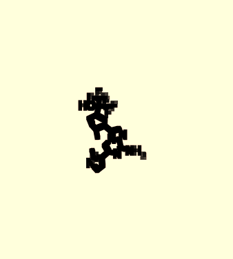 Cc1ccc(C(O)(C(F)(F)F)C(F)(F)F)cc1-c1cnc2c(N)nc(-c3ccnn3C)cn12